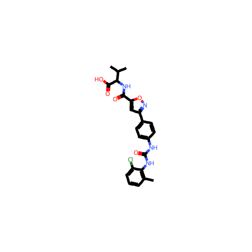 Cc1cccc(Cl)c1NC(=O)Nc1ccc(-c2cc(C(=O)NC(C(=O)O)C(C)C)on2)cc1